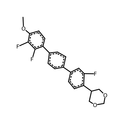 COc1ccc(-c2ccc(-c3ccc(C4COCOC4)c(F)c3)cc2)c(F)c1F